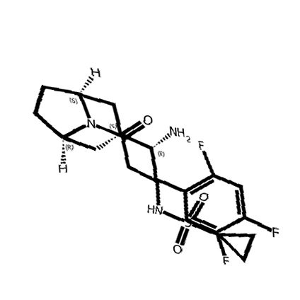 N[C@H](Cc1cc(F)c(F)cc1F)[C@@H]1C[C@H]2CC[C@@H](C1)N2C(=O)CCNS(=O)(=O)C1CC1